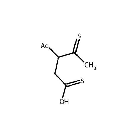 CC(=O)C(CC(O)=S)C(C)=S